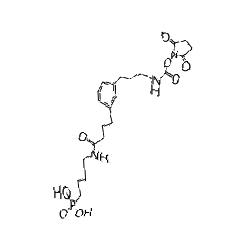 O=C(CCCc1cccc(CCCNC(=O)ON2C(=O)CCC2=O)c1)NCCCCP(=O)(O)O